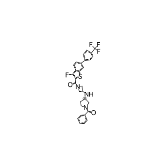 O=C(c1ccccc1)N1CC[C@H](NC2CN(C(=O)c3sc4cc(-c5ccc(C(F)(F)F)cc5)ccc4c3F)C2)C1